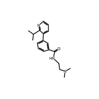 CC(C)c1ncccc1-c1cccc(C(=O)NCCN(C)C)c1